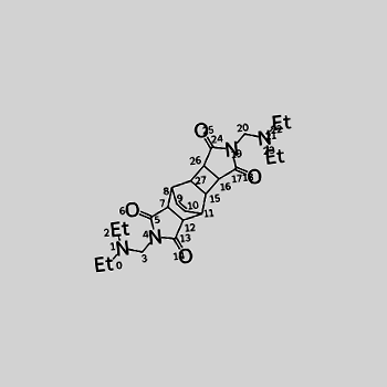 CCN(CC)CN1C(=O)C2C3C=CC(C2C1=O)C1C2C(=O)N(CN(CC)CC)C(=O)C2C31